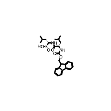 CC(C)C[C@H](NC(=O)OCC1c2ccccc2-c2ccccc21)C(=O)N[C@@H](CC(C)C)S(=O)O